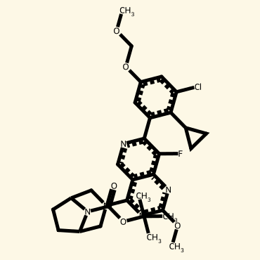 COCOc1cc(Cl)c(C2CC2)c(-c2ncc3c(N4CC5CCC(C4)N5C(=O)OC(C)(C)C)nc(OC)nc3c2F)c1